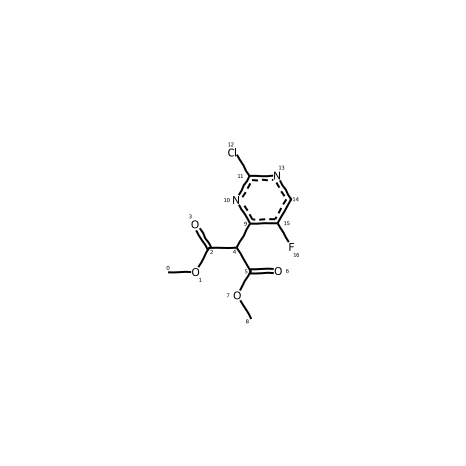 COC(=O)C(C(=O)OC)c1nc(Cl)ncc1F